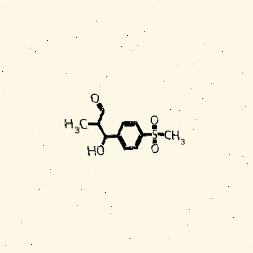 CC(C=O)C(O)c1ccc(S(C)(=O)=O)cc1